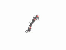 O=C(NC1CC2(C1)CC(c1nc3cc(Cl)ccc3o1)C2)c1ccc(S(=O)(=O)NC(=O)C2COC2)o1